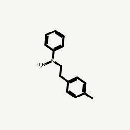 Cc1ccc(CCN(N)c2ccccc2)cc1